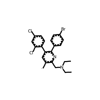 [CH2]c1cc(-c2ccc(Cl)cc2Cl)c(-c2ccc(Br)cc2)nc1CN(CC)CC